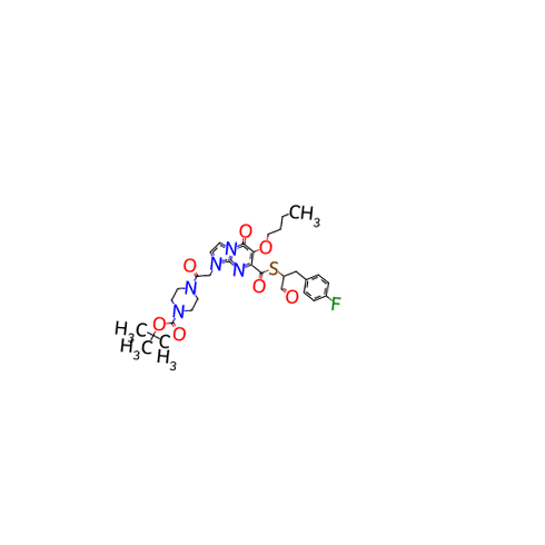 CCCCOc1c(C(=O)SC(C=O)Cc2ccc(F)cc2)nc2n(CC(=O)N3CCN(C(=O)OC(C)(C)C)CC3)ccn2c1=O